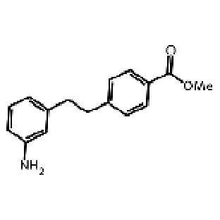 COC(=O)c1ccc(CCc2cccc(N)c2)cc1